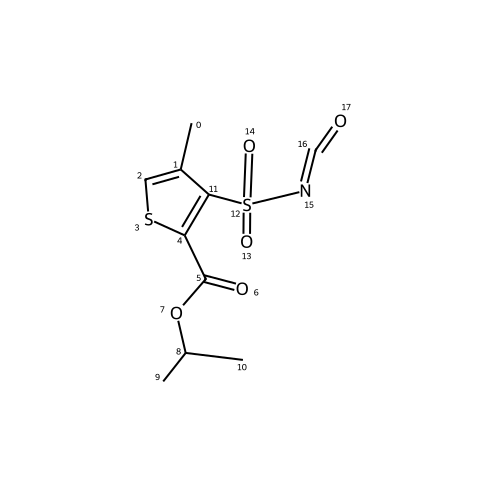 Cc1csc(C(=O)OC(C)C)c1S(=O)(=O)N=C=O